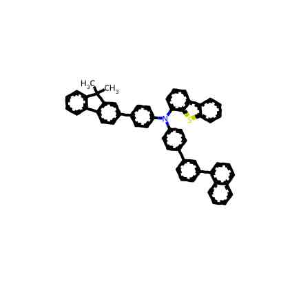 CC1(C)c2ccccc2-c2ccc(-c3ccc(N(c4ccc(-c5cccc(-c6cccc7ccccc67)c5)cc4)c4cccc5c4sc4ccccc45)cc3)cc21